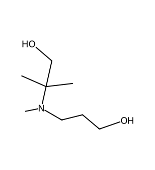 CN(CCCO)C(C)(C)CO